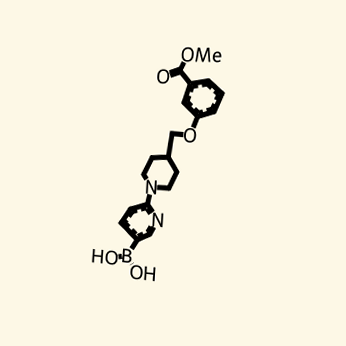 COC(=O)c1cccc(OCC2CCN(c3ccc(B(O)O)cn3)CC2)c1